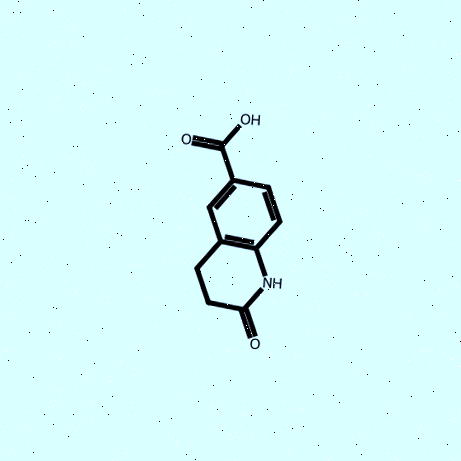 O=C1CCc2cc(C(=O)O)ccc2N1